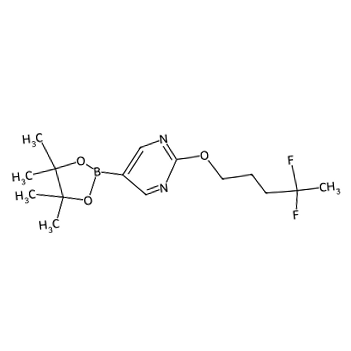 CC(F)(F)CCCOc1ncc(B2OC(C)(C)C(C)(C)O2)cn1